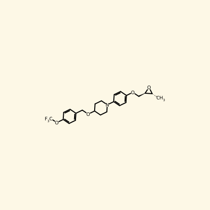 C[C@H]1O[C@@H]1COc1ccc(N2CCC(OCc3ccc(OC(F)(F)F)cc3)CC2)cc1